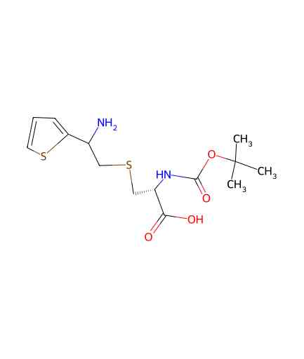 CC(C)(C)OC(=O)N[C@@H](CSCC(N)c1cccs1)C(=O)O